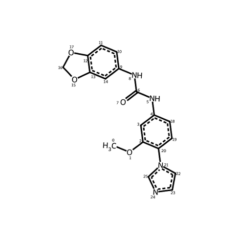 COc1cc(NC(=O)Nc2ccc3c(c2)OCO3)ccc1-n1ccnc1